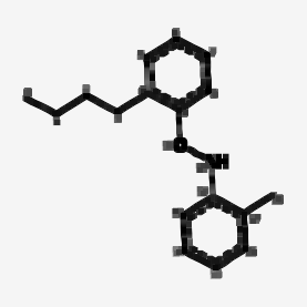 CCCCc1ccccc1ONc1ccccc1C